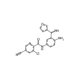 N#Cc1cnc(C(=O)Nc2ccc(N)c(C(=N)c3ccoc3)c2)c(Cl)c1